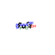 CC(C)[C@@](C)(O)[C@@H]1CN(c2nc(-n3ccc4ncncc43)c(F)cc2Cl)CCN1